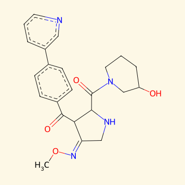 CON=C1CNC(C(=O)N2CCCC(O)C2)C1C(=O)c1ccc(-c2cccnc2)cc1